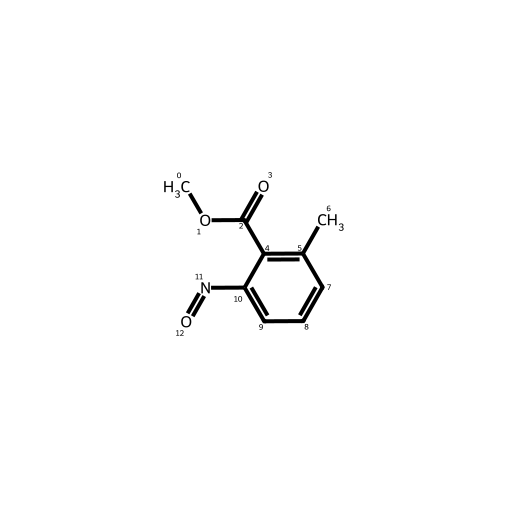 COC(=O)c1c(C)cccc1N=O